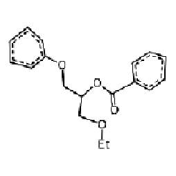 CCOCC(COc1ccccc1)OC(=O)c1ccccc1